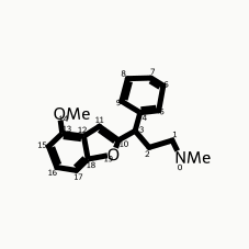 CNCCC(c1ccccc1)c1cc2c(OC)cccc2o1